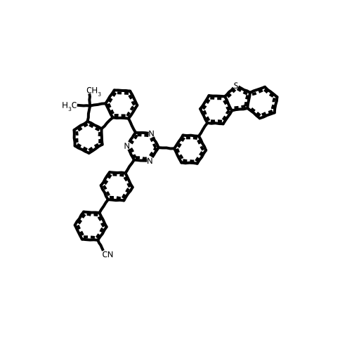 CC1(C)c2ccccc2-c2c(-c3nc(-c4ccc(-c5cccc(C#N)c5)cc4)nc(-c4cccc(-c5ccc6sc7ccccc7c6c5)c4)n3)cccc21